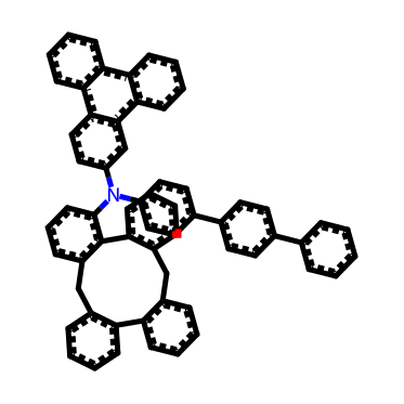 c1ccc(-c2ccc(-c3ccc(N(c4ccc5c6ccccc6c6ccccc6c5c4)c4cccc5c4-c4ccccc4Cc4ccccc4-c4ccccc4C5)cc3)cc2)cc1